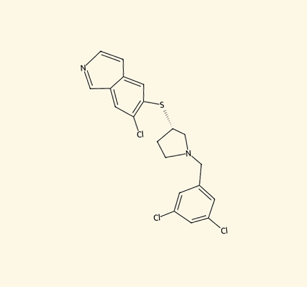 Clc1cc(Cl)cc(CN2CC[C@H](Sc3cc4ccncc4cc3Cl)C2)c1